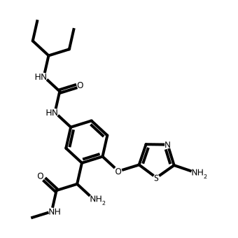 CCC(CC)NC(=O)Nc1ccc(Oc2cnc(N)s2)c(C(N)C(=O)NC)c1